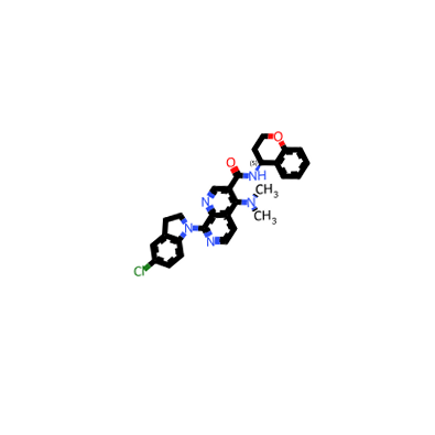 CN(C)c1c(C(=O)N[C@H]2CCOc3ccccc32)cnc2c(N3CCc4cc(Cl)ccc43)nccc12